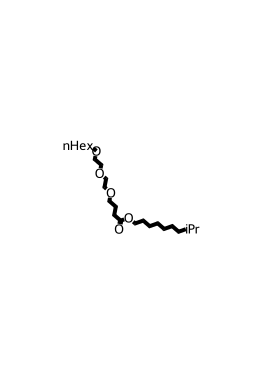 CCCCCCOCCOCCOCCCC(=O)OCCCCCCCC(C)C